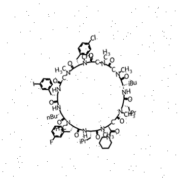 CCCC[C@@H]1NC(=O)[C@H](Cc2cccc(I)c2)NC(=O)CN(C)C(=O)[C@H](Cc2ccc(Cl)cc2)N(C)C(=O)CN(C)C(=O)CN(C)C(=O)[C@H]([C@@H](C)CC)NC(=O)[C@H](CC(C)C)N(C)C(=O)C[C@@H](C(=O)N2CCCCC2)N(C)C(=O)[C@H](CC(C)C)NC(=O)[C@H](Cc2cccc(F)c2)N(C)C1=O